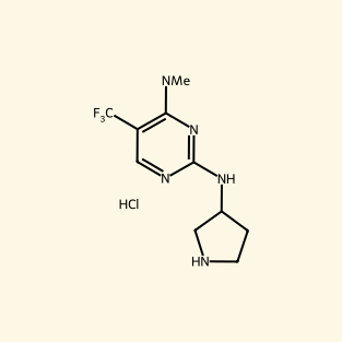 CNc1nc(NC2CCNC2)ncc1C(F)(F)F.Cl